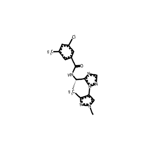 C[C@H](NC(=O)c1cc(Cl)cc(C(F)(F)F)c1)c1ncnn1-c1cn(C)nc1C(F)(F)F